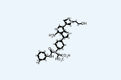 Nc1ncc(-c2cnn(CCO)c2)c2scc(-c3ccc(N(C(=O)Nc4cccc(F)c4)C(C(=O)O)C(=O)O)cc3)c12